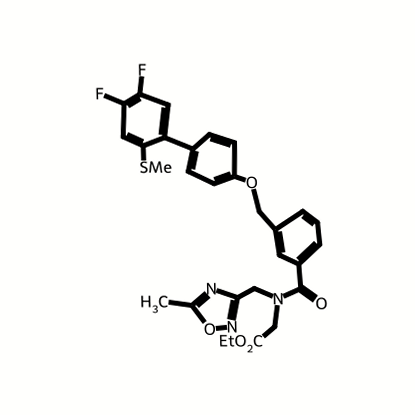 CCOC(=O)CN(Cc1noc(C)n1)C(=O)c1cccc(COc2ccc(-c3cc(F)c(F)cc3SC)cc2)c1